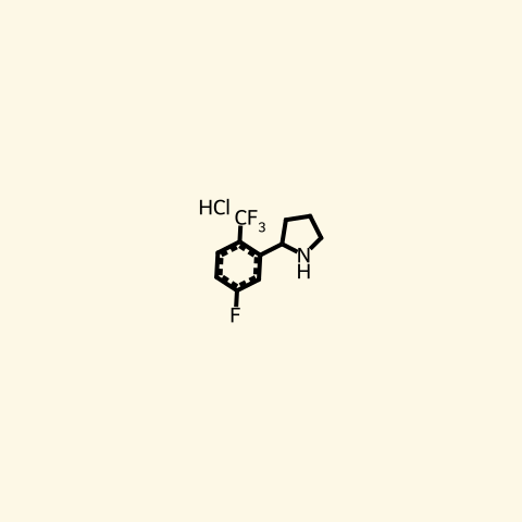 Cl.Fc1ccc(C(F)(F)F)c(C2CCCN2)c1